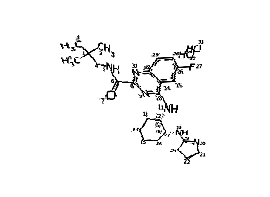 CC(C)(C)CNC(=O)c1nc(N[C@H]2CCCC[C@H]2NC2=NCCC2)c2cc(F)ccc2n1.Cl.Cl